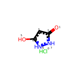 Cl.O=c1cc(O)[nH][nH]1